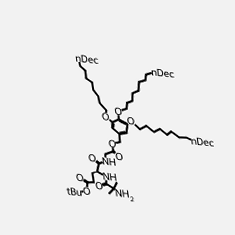 CCCCCCCCCCCCCCCCCCOc1cc(COC(=O)CNC(=O)[C@H](CCC(=O)OC(C)(C)C)NC(=O)C(C)(C)N)cc(OCCCCCCCCCCCCCCCCCC)c1OCCCCCCCCCCCCCCCCCC